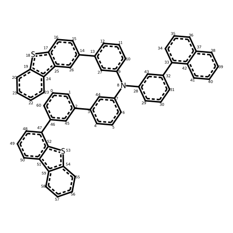 c1cc(-c2cccc(N(c3cccc(-c4ccc5sc6ccccc6c5c4)c3)c3cccc(-c4cccc5ccccc45)c3)c2)cc(-c2cccc3c2sc2ccccc23)c1